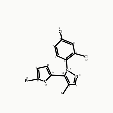 Cc1cnn(-c2ccc(Cl)cc2Cl)c1-c1ccc(Br)s1